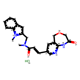 CN(Cc1cc2ccccc2n1C)C(=O)C=Cc1cnc2c(c1)COCC(=O)N2.Cl